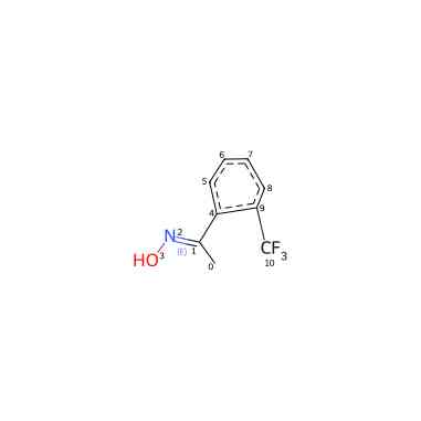 C/C(=N\O)c1ccccc1C(F)(F)F